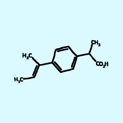 CC=C(C)c1ccc(C(C)C(=O)O)cc1